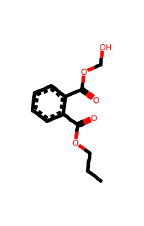 CCCOC(=O)c1ccccc1C(=O)OCO